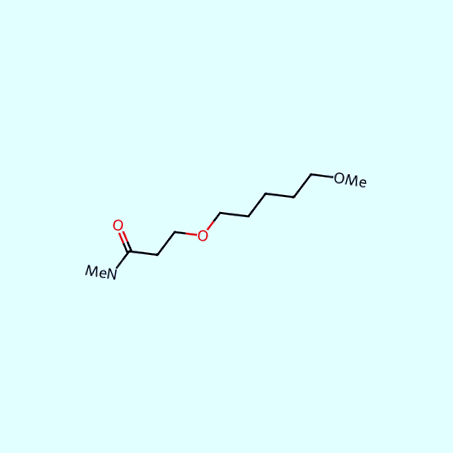 CNC(=O)CCOCCCCCOC